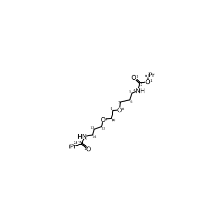 CC(C)OC(=O)NCCCOCCOCCCNC(=O)C(C)C